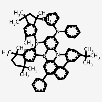 Cc1cc2c(cc1N1c3cc4c(cc3B3c5cc(-c6ccccc6)ccc5N(c5ccc(C(C)(C)C)cc5-c5ccccc5)c5cc(N(c6ccccc6)c6ccccc6)cc1c53)C(C)(C)CCC4(C)C)C(C)(C)CC2(C)C